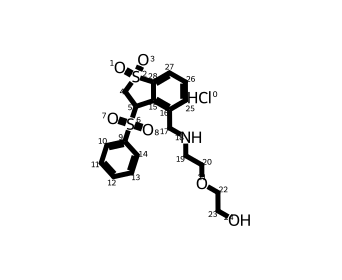 Cl.O=S1(=O)CC(S(=O)(=O)c2ccccc2)c2c(CNCCOCCO)cccc21